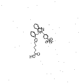 CN(C)S(=O)(=O)c1ccc(-c2nc3ccccc3n2Cc2ccccc2OCCCCCC(=O)O)cc1